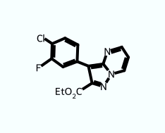 CCOC(=O)c1nn2cccnc2c1-c1ccc(Cl)c(F)c1